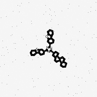 c1ccc2c(c1)ccc1c3ccc(-c4nc(-c5ccc6c(c5)oc5ccccc56)nc(-c5ccc6c(c5)sc5ccccc56)n4)cc3ccc21